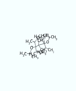 CC(C)OC(C(C)C)(C(C)C)C(C)(C)C(OC(C)C)(C(C)C)C(C)C